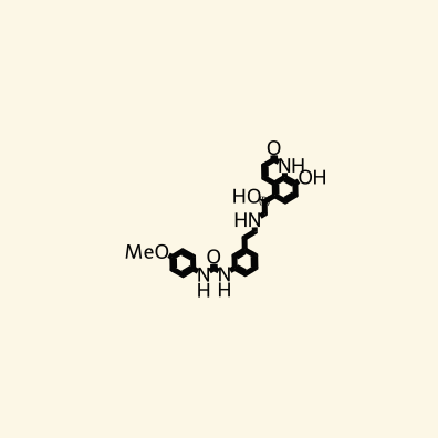 COc1ccc(NC(=O)Nc2cccc(CCNC[C@H](O)c3ccc(O)c4[nH]c(=O)ccc34)c2)cc1